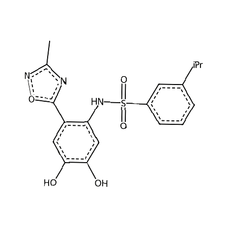 Cc1noc(-c2cc(O)c(O)cc2NS(=O)(=O)c2cccc(C(C)C)c2)n1